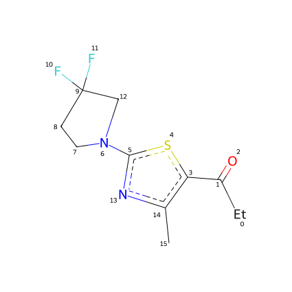 CCC(=O)c1sc(N2CCC(F)(F)C2)nc1C